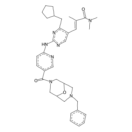 C/C(=C\c1cnc(Nc2ccc(C(=O)N3CC4CN(Cc5ccccc5)CC(C3)O4)cn2)nc1CC1CCCC1)C(=O)N(C)C